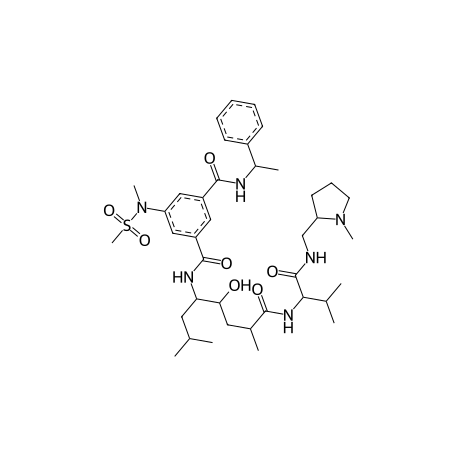 CC(C)CC(NC(=O)c1cc(C(=O)NC(C)c2ccccc2)cc(N(C)S(C)(=O)=O)c1)C(O)CC(C)C(=O)NC(C(=O)NCC1CCCN1C)C(C)C